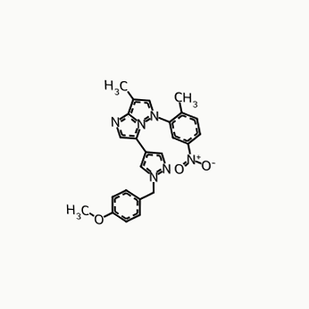 COc1ccc(Cn2cc(-c3cnc4c(C)cn(-c5cc([N+](=O)[O-])ccc5C)n34)cn2)cc1